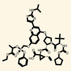 C=C[C@@H]1C[C@]1(NC(=O)[C@@H]1C[C@@H](Oc2cc(-c3csc(NC(C)C)n3)nc3cc(OCP(=O)(Oc4ccccc4)OC(C)C(=O)OCC)ccc23)CN1C(=O)[C@@H](NC(=O)OC1CCCC1)C(C)(C)C)C(=O)O